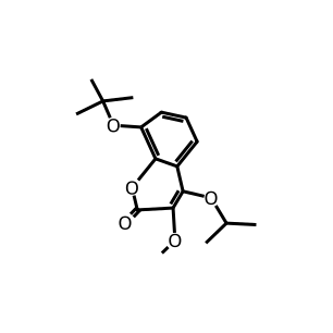 COc1c(OC(C)C)c2cccc(OC(C)(C)C)c2oc1=O